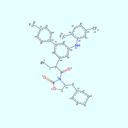 CC(C)CC(C(=O)N1C(=O)OCC1Cc1ccccc1)c1cc(Nc2cc(C(F)(F)F)ccc2C(F)(F)F)cc(-c2ccc(C(F)(F)F)cc2)c1